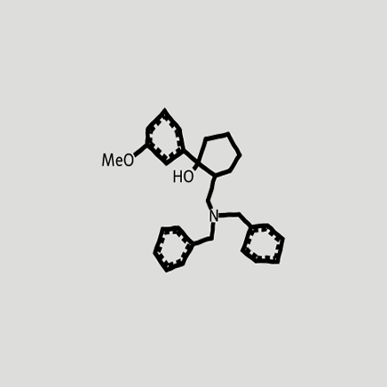 COc1cccc(C2(O)CCCCC2CN(Cc2ccccc2)Cc2ccccc2)c1